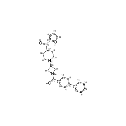 O=C(c1ccc(-c2ccccc2)cc1)N1CC(N2CCN(C(=O)c3ccco3)CC2)C1